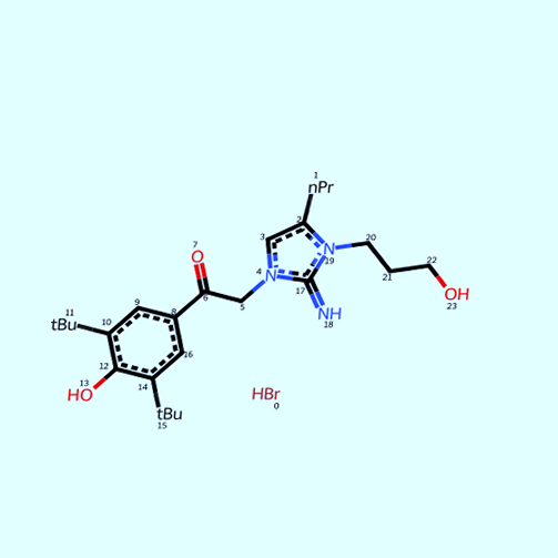 Br.CCCc1cn(CC(=O)c2cc(C(C)(C)C)c(O)c(C(C)(C)C)c2)c(=N)n1CCCO